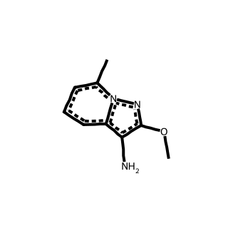 COc1nn2c(C)cccc2c1N